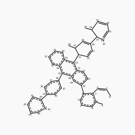 C/C=C\c1c(C)cccc1-c1ccc2c(C3C=CC(C4N=CC=CC4C)=CC3C)c3ccccc3c(-c3ccc(-c4ccccn4)cc3)c2c1